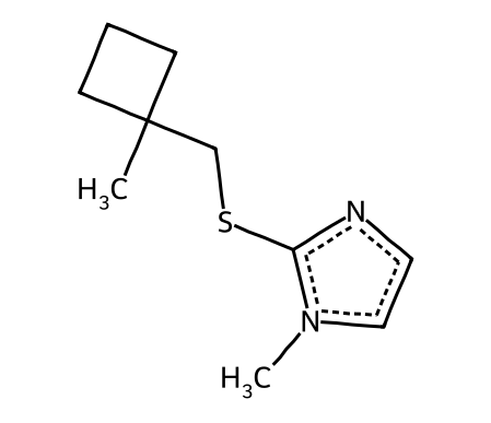 Cn1ccnc1SCC1(C)CCC1